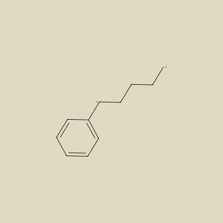 [CH2]CCC[CH]c1ccccc1